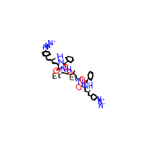 CCC(CO[C@](C)(CC)CCNC(=O)/C(=C/C(C)=C/c1ccc(N=[N+]=[N-])cc1)NC(=O)c1ccccc1)NC(=O)/C(=C/C(C)=C/c1ccc(N=[N+]=[N-])cc1)NC(=O)c1ccccc1